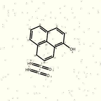 N=C=O.N=C=O.Oc1ccc2cccc3c2c1C=CC3